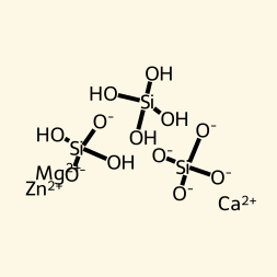 O[Si](O)(O)O.[Ca+2].[Mg+2].[O-][Si]([O-])(O)O.[O-][Si]([O-])([O-])[O-].[Zn+2]